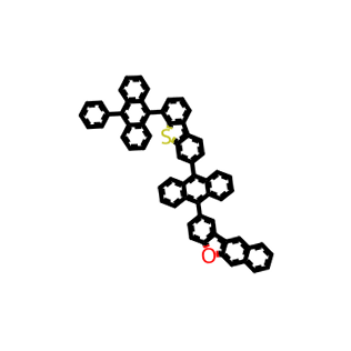 c1ccc(-c2c3ccccc3c(-c3cccc4c3sc3cc(-c5c6ccccc6c(-c6ccc7oc8cc9ccccc9cc8c7c6)c6ccccc56)ccc34)c3ccccc23)cc1